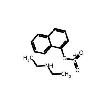 CCNCC.O=[SH](=O)Oc1cccc2ccccc12